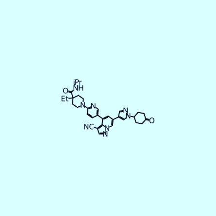 CCC1(C(=O)NC(C)C)CCN(c2ccc(-c3cc(-c4cnn(C5CCC(=O)CC5)c4)cn4ncc(C#N)c34)cn2)CC1